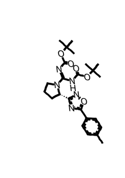 Cc1ccc(-c2nc([C@@H]3CCCN3/C(=N/C(=O)OC(C)(C)C)NC(=O)OC(C)(C)C)no2)cc1